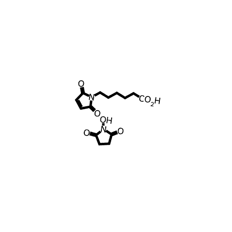 O=C(O)CCCCCN1C(=O)C=CC1=O.O=C1CCC(=O)N1O